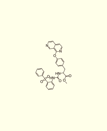 COC(=O)C(Cc1ccc(Oc2nccc3ccncc23)cc1)NC(=O)Nc1ccccc1S(=O)(=O)c1ccccc1